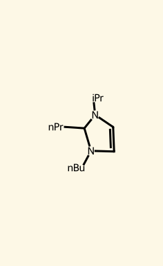 CCCCN1C=CN(C(C)C)C1CCC